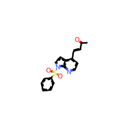 CC(=O)/C=C/c1ccnc2c1ccn2S(=O)(=O)c1ccccc1